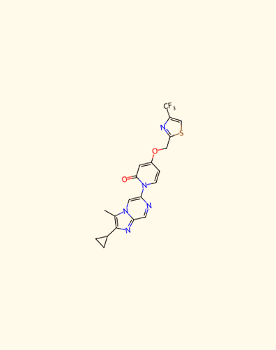 Cc1c(C2CC2)nc2cnc(-n3ccc(OCc4nc(C(F)(F)F)cs4)cc3=O)cn12